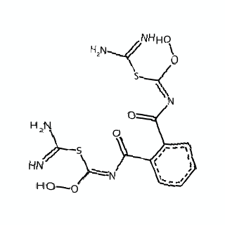 N=C(N)SC(=NC(=O)c1ccccc1C(=O)N=C(OO)SC(=N)N)OO